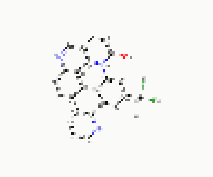 O=c1ccc2cnc3ccc(-c4cccnc4)cc3c2n1-c1cccc(C(F)(F)F)c1